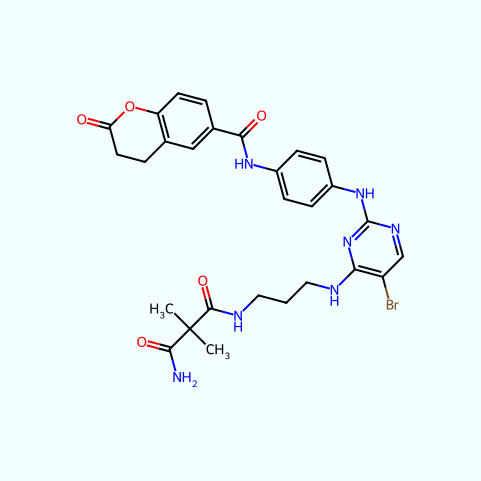 CC(C)(C(N)=O)C(=O)NCCCNc1nc(Nc2ccc(NC(=O)c3ccc4c(c3)CCC(=O)O4)cc2)ncc1Br